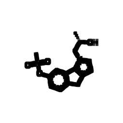 C[C@H](O)Cn1ccc2c1-c1cc(OS(C)(=O)=O)ccc1C2